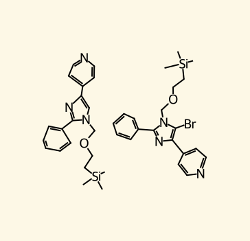 C[Si](C)(C)CCOCn1c(-c2ccccc2)nc(-c2ccncc2)c1Br.C[Si](C)(C)CCOCn1cc(-c2ccncc2)nc1-c1ccccc1